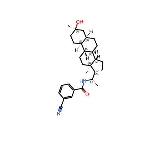 C[C@H](NC(=O)c1cccc(C#N)c1)[C@H]1CC[C@H]2[C@@H]3CC[C@@H]4C[C@](C)(O)CC[C@@H]4[C@H]3CC[C@]12C